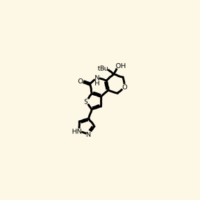 CC(C)(C)C1(O)COCc2c1[nH]c(=O)c1sc(-c3cn[nH]c3)cc21